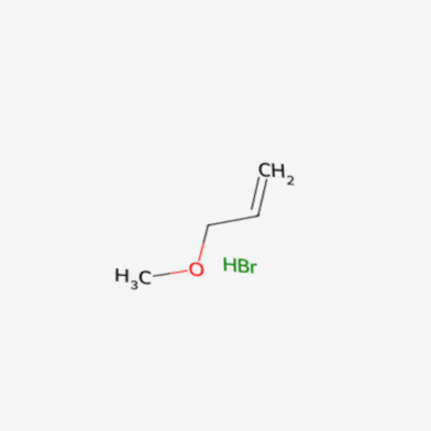 Br.C=CCOC